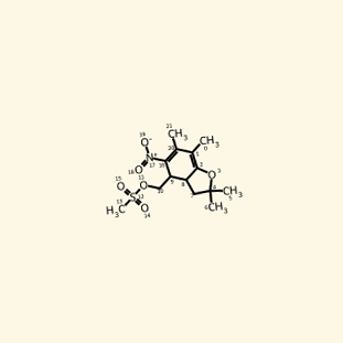 CC1=C2OC(C)(C)CC2C(COS(C)(=O)=O)C([N+](=O)[O-])=C1C